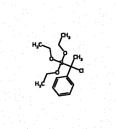 CCO[Si](OCC)(OCC)C(C)(Cl)c1ccccc1